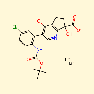 CC(C)(C)OC(=O)Nc1ccc(Cl)cc1-c1cnc2c(c1[O-])CCC2(O)C(=O)[O-].[Li+].[Li+]